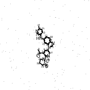 CC(=O)c1cc(-n2cnc3ccc(Nc4ccc(C)nn4)cc32)cnc1N1CCCS1(=O)=O